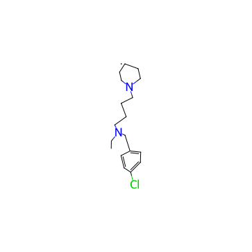 CCN(CCCCN1CC[CH]CC1)Cc1ccc(Cl)cc1